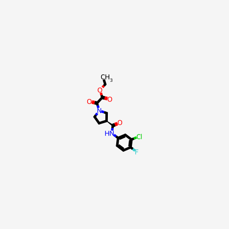 CCOC(=O)C(=O)N1CC[C@H](C(=O)Nc2ccc(F)c(Cl)c2)C1